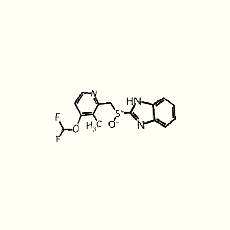 Cc1c(OC(F)F)ccnc1C[S+]([O-])c1nc2ccccc2[nH]1